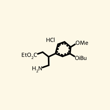 CCOC(=O)CC(CN)c1ccc(OC)c(OCC(C)C)c1.Cl